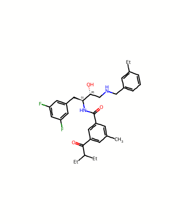 CCc1cccc(CNC[C@@H](O)[C@H](Cc2cc(F)cc(F)c2)NC(=O)c2cc(C)cc(C(=O)C(CC)CC)c2)c1